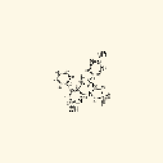 CC(C)c1ncc(C(=O)Nc2c(-c3ccccc3)cc(O)nc2N2CCC(F)(F)C2)cn1